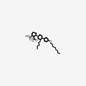 CCCCCCCCOc1ccc(-c2ccc(-c3cccc(C(=O)O)c3C(=O)O)cc2CCCCC)cc1